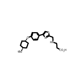 CC(C)(C)[C@H]1CC[C@@H](Oc2ccc(-c3csc(CNCCC(=O)O)n3)cc2)CC1